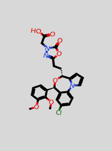 COc1cccc([C@H]2O[C@H](CCc3nn(CC(=O)O)c(=O)o3)c3cccn3-c3ccc(Cl)cc32)c1OC